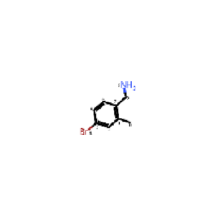 Cc1cc(Br)ccc1CN